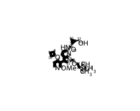 COc1nccc(OC2CCC2)c1-c1cn(COCC[Si](C)(C)C)c2nc(NC(=O)[C@@H]3C[C@H]3CO)ccc12